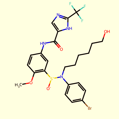 COc1ccc(NC(=O)c2cnc(C(F)(F)F)[nH]2)cc1[S+]([O-])N(CCCCCCO)c1ccc(Br)cc1